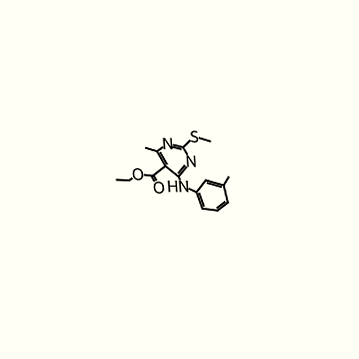 CCOC(=O)c1c(C)nc(SC)nc1Nc1cccc(C)c1